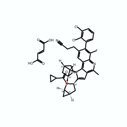 Cc1nc2c(F)c(-c3cccc(Cl)c3Cl)c(CCC#N)cc2c2c1cc([C@H]1C[C@H]3C[C@H]3N1C(=O)C1CC1)n2[C@H]1[C@H]2CN[C@@H]1C2.O=C(O)/C=C/C(=O)O